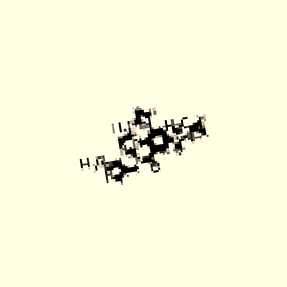 C[C@@H]1CN=C2N(Cc3cnn(C)c3)C(=O)c3cc(S(=O)(=O)NC4(C)CC4)cc(N4CCC4)c3N21